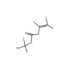 N#CC(F)(F)OC(=O)CC(F)=C(F)F